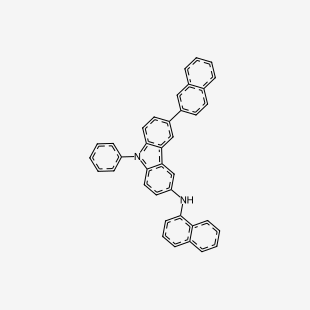 c1ccc(-n2c3ccc(Nc4cccc5ccccc45)cc3c3cc(-c4ccc5ccccc5c4)ccc32)cc1